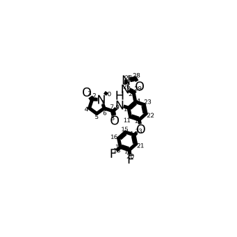 CN1C(=O)CCC1C(=O)Nc1cc(Oc2ccc(F)c(F)c2)ccc1-c1nnco1